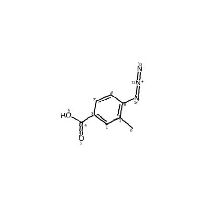 Cc1cc(C(=O)O)ccc1N=[N+]=[N-]